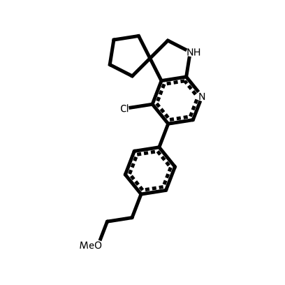 COCCc1ccc(-c2cnc3c(c2Cl)C2(CCCC2)CN3)cc1